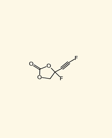 O=C1OCC(F)(C#CF)O1